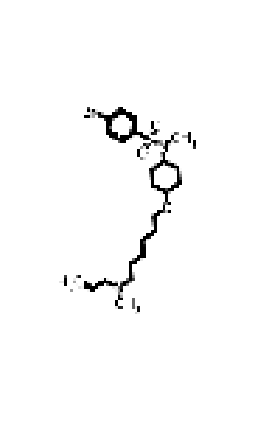 C=CCN(C)CCCCCCOC1CCC(N(C)S(=O)(=O)c2ccc(Br)cc2)CC1